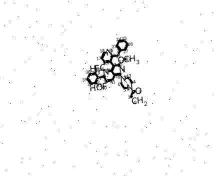 C=CC(=O)N1CCN(c2nc(OC)c(-c3c(C)ccnc3Cc3ccccc3)c3nc(-c4c(O)cccc4F)c(F)cc23)CC1